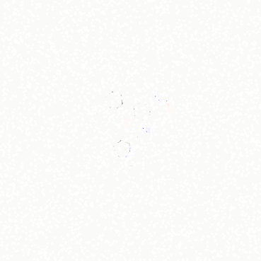 CC(C)(Nc1cc(N2CCCC2=O)cc(-c2cccc(C(F)(F)F)c2)c1OC(F)(F)F)c1cccc(C(F)(F)F)n1